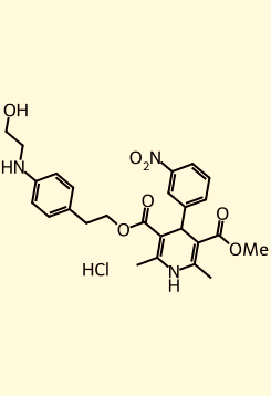 COC(=O)C1=C(C)NC(C)=C(C(=O)OCCc2ccc(NCCO)cc2)C1c1cccc([N+](=O)[O-])c1.Cl